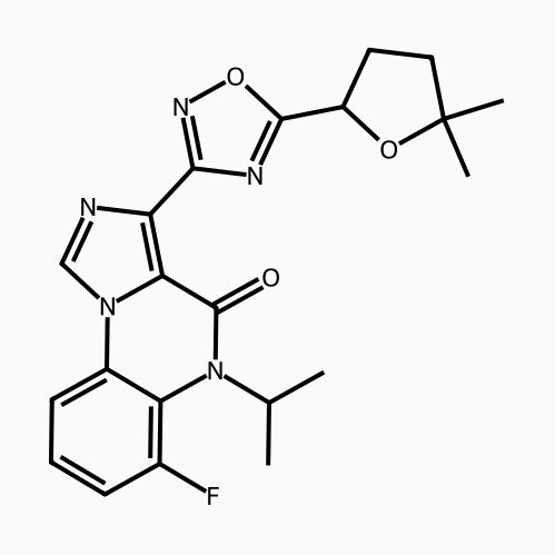 CC(C)n1c(=O)c2c(-c3noc(C4CCC(C)(C)O4)n3)ncn2c2cccc(F)c21